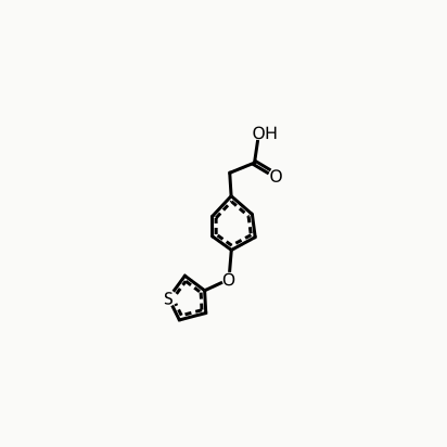 O=C(O)Cc1ccc(Oc2ccsc2)cc1